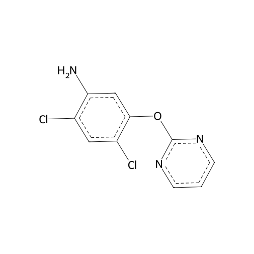 Nc1cc(Oc2ncccn2)c(Cl)cc1Cl